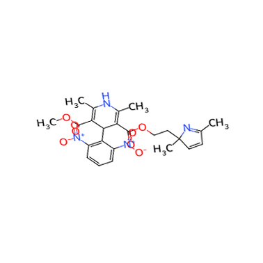 COC(=O)C1=C(C)NC(C)=C(C(=O)OCCC2(C)C=CC(C)=N2)C1c1c([N+](=O)[O-])cccc1[N+](=O)[O-]